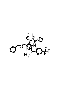 COc1nc(N2CCC2)nc2c1c(COCc1ccccc1)nn2C(C)c1ccc(C(F)(F)F)cc1